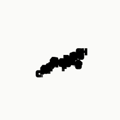 O=C(O)c1ccc2nc(Oc3c(F)cc(-c4cccc(OCc5ccc(Cl)cc5F)n4)cc3F)n(C[C@@H]3CCO3)c2c1